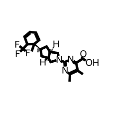 Cc1nc(N2C[C@H]3C[C@@H](C4(C)C=CC=CC4C(F)(F)F)C[C@H]3C2)nc(C(=O)O)c1C